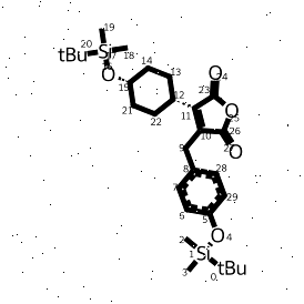 CC(C)(C)[Si](C)(C)Oc1ccc(CC2=C([C@H]3CC[C@@H](O[Si](C)(C)C(C)(C)C)CC3)C(=O)OC2=O)cc1